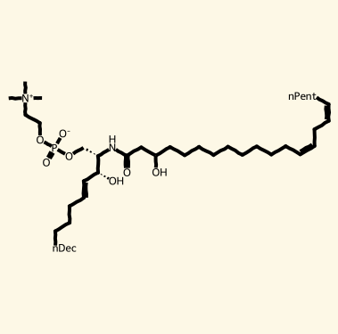 CCCCC/C=C\C/C=C\CCCCCCCCCC(O)CC(=O)N[C@@H](COP(=O)([O-])OCC[N+](C)(C)C)[C@H](O)/C=C/CCCCCCCCCCCCC